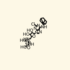 O=P(O)(O)CP(=O)(O)NCC1OC(n2cnc3c(NC4C5CC6CC(C5)CC4C6)nc(Cl)nc32)C(O)C1O